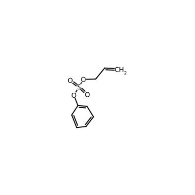 C=CCOS(=O)(=O)Oc1ccccc1